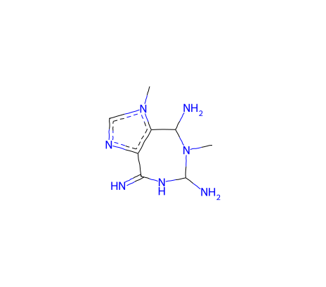 CN1C(N)NC(=N)c2ncn(C)c2C1N